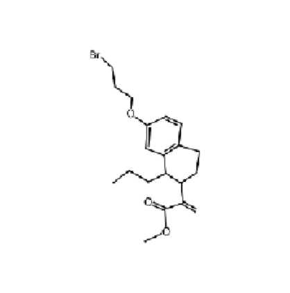 C=C(C(=O)OC)C1CCc2ccc(OCCCBr)cc2C1CCC